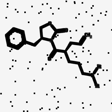 C=CC[C@@H](CCCN(CC)CC)C(=O)N1C(=O)OC[C@@H]1Cc1ccccc1